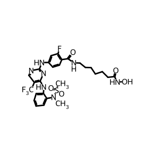 CN(c1ccccc1Nc1nc(Nc2ccc(C(=O)NCCCCCCC(=O)NO)c(F)c2)ncc1C(F)(F)F)S(C)(=O)=O